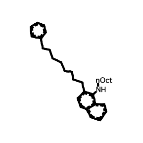 CCCCCCCCNc1c(CCCCCCCCc2ccccc2)ccc2ccccc12